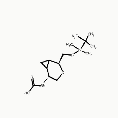 CC(C)(C)[Si](C)(C)OC[C@H]1OC[C@H](NC(=O)O)C2CC21